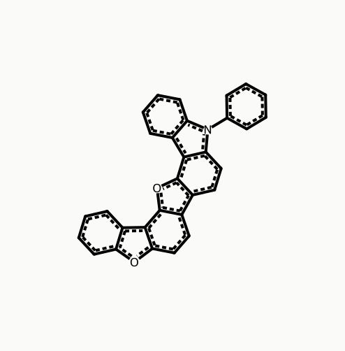 c1ccc(-n2c3ccccc3c3c4oc5c(ccc6oc7ccccc7c65)c4ccc32)cc1